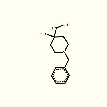 CCOC(=O)C1(NN)CCN(Cc2ccccc2)CC1